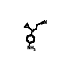 N#CCCN(c1ccc(N)cc1)C1CC1